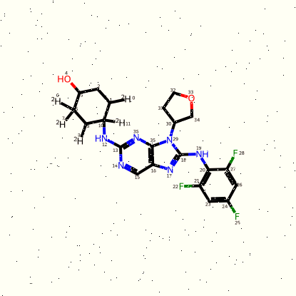 [2H]C1CC(O)C([2H])([2H])C([2H])C1([2H])Nc1ncc2nc(Nc3c(F)cc(F)cc3F)n(C3CCOC3)c2n1